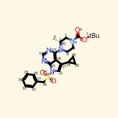 C[C@@H]1CN(C(=O)OC(C)(C)C)CCN1c1ncnc2c1c(C1CC1)cn2S(=O)(=O)Cc1ccccc1